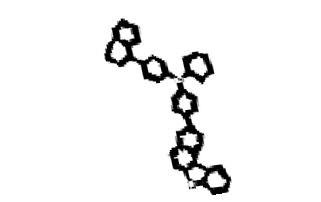 C1=CC2Oc3ccc4cc(-c5ccc(N(C6=CCCC=C6)C6=CCC(C7=CCCc8ccccc87)C=C6)cc5)ccc4c3C2C=C1